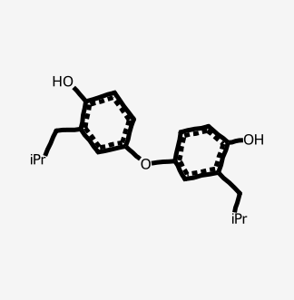 CC(C)Cc1cc(Oc2ccc(O)c(CC(C)C)c2)ccc1O